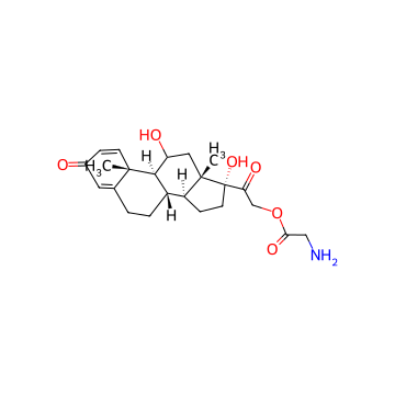 C[C@]12C=CC(=O)C=C1CC[C@@H]1[C@@H]2C(O)C[C@@]2(C)[C@H]1CC[C@]2(O)C(=O)COC(=O)CN